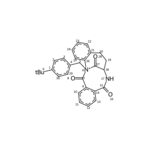 CC(C)(C)c1ccc(C[N+]23C(=O)c4ccccc4C(=O)NC(CCc4ccccc42)C3=O)cc1